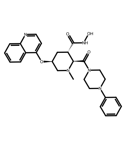 CN1C[C@@H](Oc2ccnc3ccccc23)C[C@H](C(=O)NO)[C@H]1C(=O)N1CCN(c2ccccc2)CC1